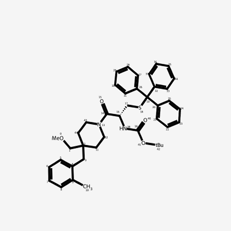 COCC1(Cc2ccccc2C)CCN(C(=O)[C@H](CSC(c2ccccc2)(c2ccccc2)c2ccccc2)NC(=O)OC(C)(C)C)CC1